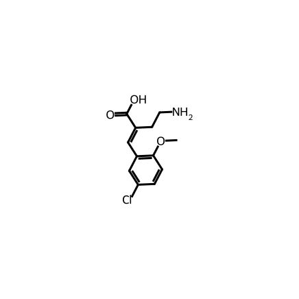 COc1ccc(Cl)cc1C=C(CCN)C(=O)O